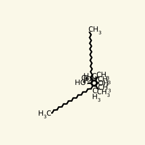 CCCCCCCCCCCCCCCCCCc1c(CP(=O)(O)O)c(CCCCCCCCCCCCCCCCCC)c(C(C)(C)C)c(O)c1C(C)(C)C